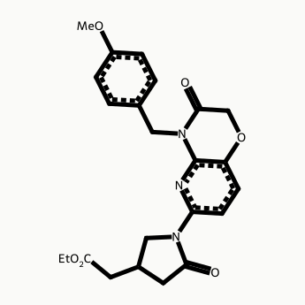 CCOC(=O)CC1CC(=O)N(c2ccc3c(n2)N(Cc2ccc(OC)cc2)C(=O)CO3)C1